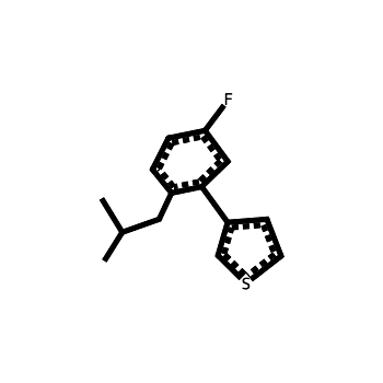 CC(C)Cc1ccc(F)cc1-c1ccsc1